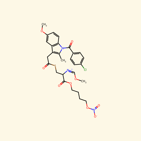 CO/C=N\C(CSC(=O)Cc1c(C)n(C(=O)c2ccc(Cl)cc2)c2ccc(OC)cc12)C(=O)OCCCCO[N+](=O)[O-]